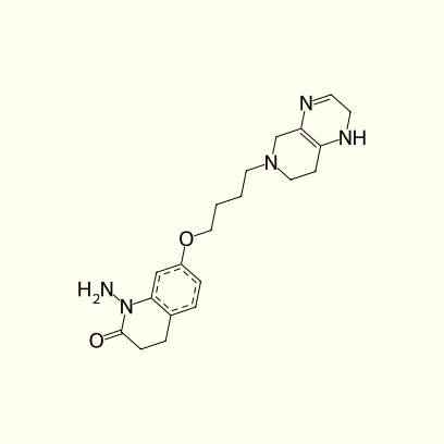 NN1C(=O)CCc2ccc(OCCCCN3CCC4=C(C3)N=CCN4)cc21